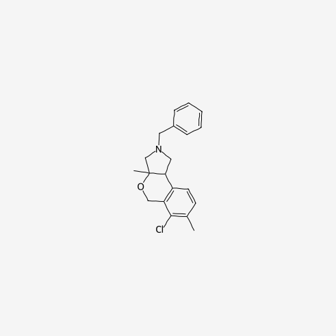 Cc1ccc2c(c1Cl)COC1(C)CN(Cc3ccccc3)CC21